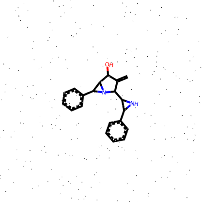 C=C1C(O)C2C(c3ccccc3)N2C1C1NC1c1ccccc1